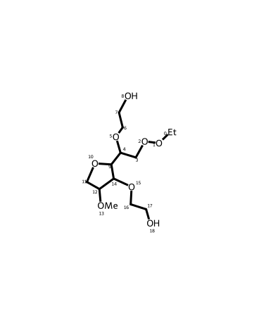 CCOOCC(OCCO)C1OCC(OC)C1OCCO